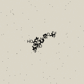 Cc1cn(C)cc1S(=O)(=O)NC(=O)c1ccc(-n2ccc(OCC(C)(C)C(F)(F)F)n2)nc1N1CC(CO)CC1(C)C